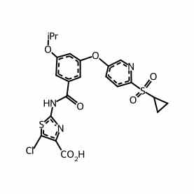 CC(C)Oc1cc(Oc2ccc(S(=O)(=O)C3CC3)nc2)cc(C(=O)Nc2nc(C(=O)O)c(Cl)s2)c1